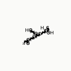 C=C[C@@H](O)OCCCOCC(COCCCOC(=O)CI)OCCCO